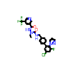 CCN(NC(=O)c1cncc(C(F)(F)F)c1)C(=O)NCc1ccc(-c2cc(Cl)cc(F)c2-n2cccn2)cc1